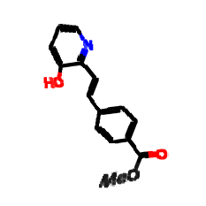 COC(=O)c1ccc(C=Cc2ncccc2O)cc1